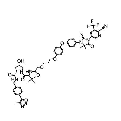 Cc1ncoc1-c1ccc(CNC(=O)[C@@H]2C[C@@H](O)CN2C(=O)[C@@H](NC(=O)COCCCOc2ccc(Oc3ccc(N4C(=S)N(c5cnc(C#N)c(C(F)(F)F)c5)C(=O)C4(C)C)cc3)cc2)C(C)(C)C)cc1